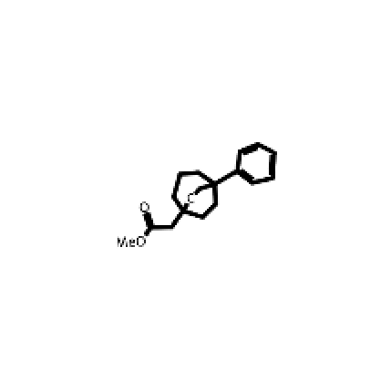 COC(=O)CC12CCCC(c3ccccc3)(CC1)CC2